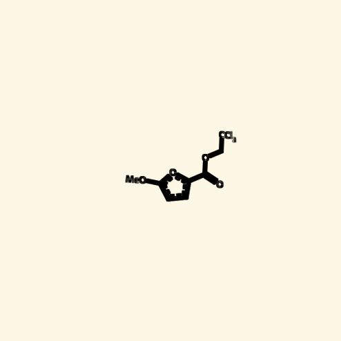 COc1ccc(C(=O)OCC(Cl)(Cl)Cl)o1